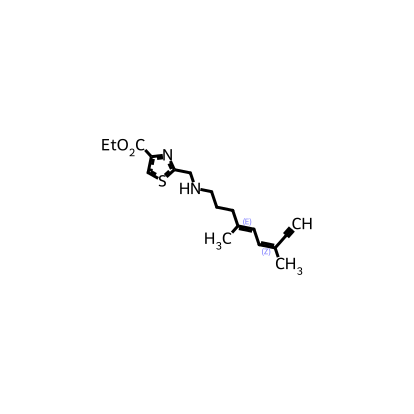 C#C/C(C)=C\C=C(/C)CCCNCc1nc(C(=O)OCC)cs1